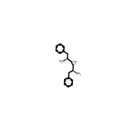 N[C@@H](Cc1ccccc1)[C@@H]1O[C@@H]1[C@@H](N)Cc1ccccc1